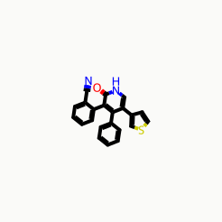 N#Cc1ccccc1-c1c(-c2ccccc2)c(-c2ccsc2)c[nH]c1=O